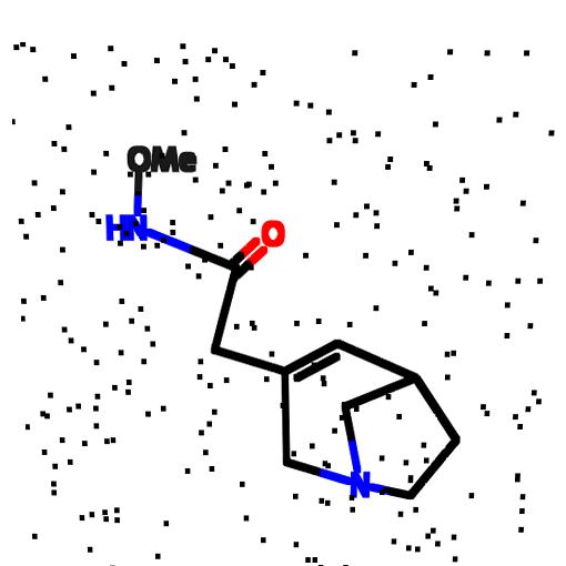 CONC(=O)CC1=CC2CCN(C1)C2